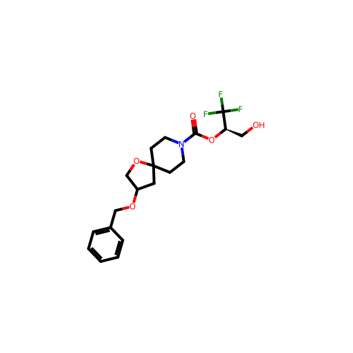 O=C(O[C@H](CO)C(F)(F)F)N1CCC2(CC1)CC(OCc1ccccc1)CO2